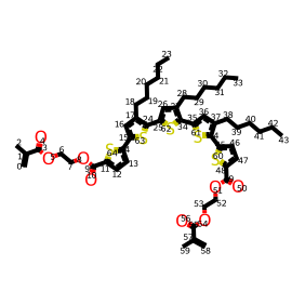 C=C(C)C(=O)OCCOC(=O)c1ccc(-c2cc(CCCCCC)c(-c3cc(CCCCCC)c(-c4cc(CCCCCC)c(-c5ccc(C(=O)OCCOC(=O)C(=C)C)s5)s4)s3)s2)s1